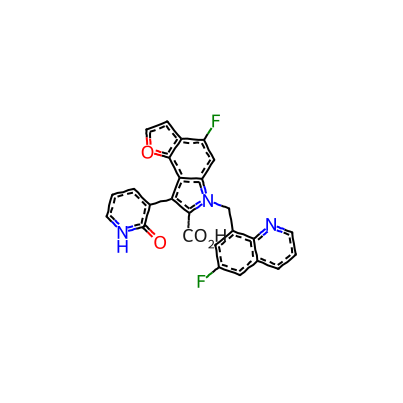 O=C(O)c1c(-c2ccc[nH]c2=O)c2c3occc3c(F)cc2n1Cc1cc(F)cc2cccnc12